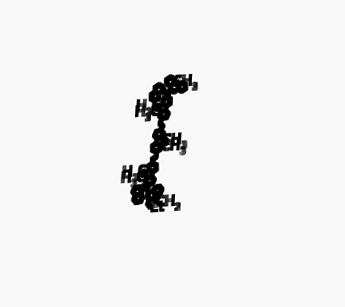 C=Cc1c(/C=C\CC)cc(N(c2ccc3c(c2)C(C)(C)c2cc(/C=C/c4ccc5c(c4)C(C)(C)C4=CC(/C=C/c6ccc7c(c6)C(C)(C)c6cc(N(C8=Cc9ccccc9[C@@]9(C)C=CC=CC89)c8cccc9ccccc89)ccc6-7)CC=C45)ccc2-3)c2cccc3ccccc23)c2ccccc12